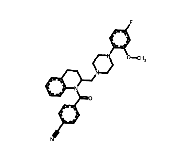 COc1cc(F)ccc1N1CCN(CC2CCc3ccccc3N2C(=O)c2ccc(C#N)cc2)CC1